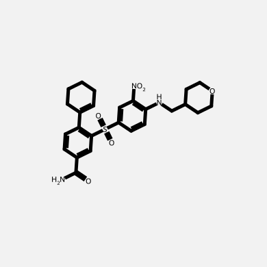 NC(=O)c1ccc(C2=CCCCC2)c(S(=O)(=O)c2ccc(NCC3CCOCC3)c([N+](=O)[O-])c2)c1